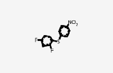 O=[N+]([O-])c1ccc(Sc2ccc(F)cc2F)cc1